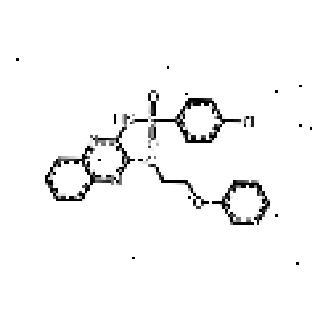 O=S(=O)(Nc1nc2ccccc2nc1OCCOc1ccccc1)c1ccc(Cl)cc1